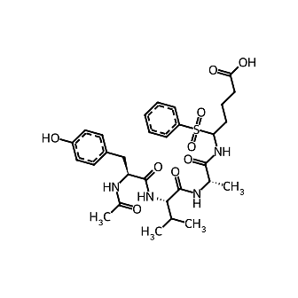 CC(=O)N[C@@H](Cc1ccc(O)cc1)C(=O)N[C@H](C(=O)N[C@@H](C)C(=O)NC(CCCC(=O)O)S(=O)(=O)c1ccccc1)C(C)C